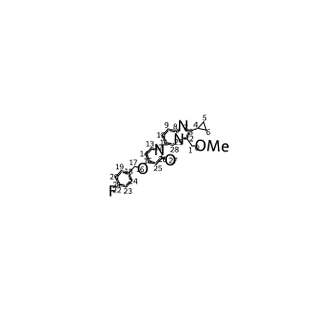 COCc1c(C2CC2)nc2ccc(-n3ccc(OCc4ccc(F)cc4)cc3=O)cn12